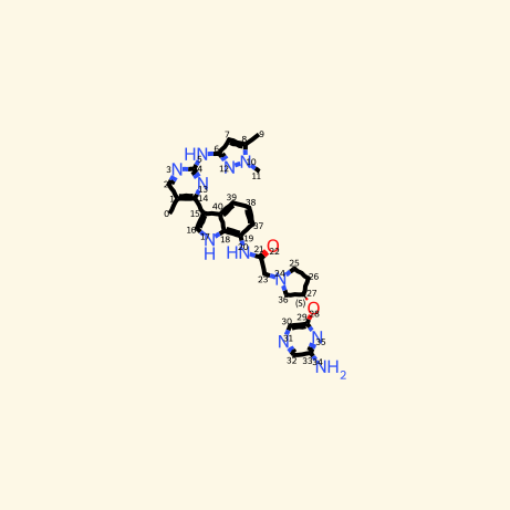 Cc1cnc(Nc2cc(C)n(C)n2)nc1-c1c[nH]c2c(NC(=O)CN3CC[C@H](Oc4cncc(N)n4)C3)cccc12